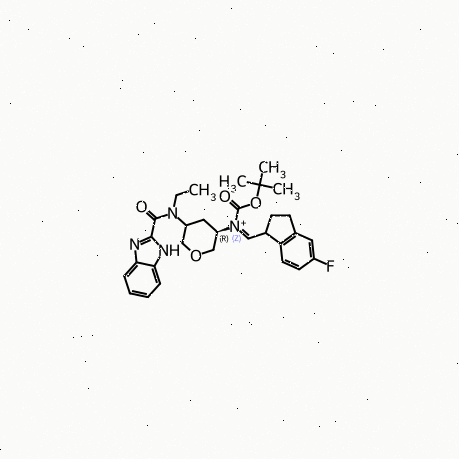 CCN(C(=O)c1nc2ccccc2[nH]1)C1COC[C@H](/[N+](=C/C2CCc3cc(F)ccc32)C(=O)OC(C)(C)C)C1